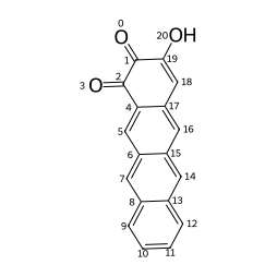 O=C1C(=O)c2cc3cc4ccccc4cc3cc2C=C1O